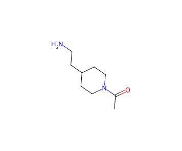 CC(=O)N1CCC(CCN)CC1